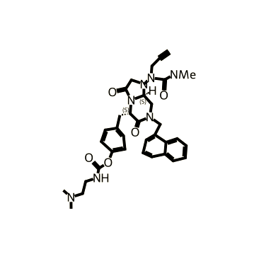 C#CCN(C(=O)NC)N1CC(=O)N2[C@@H](Cc3ccc(OC(=O)NCCN(C)C)cc3)C(=O)N(Cc3cccc4ccccc34)C[C@@H]21